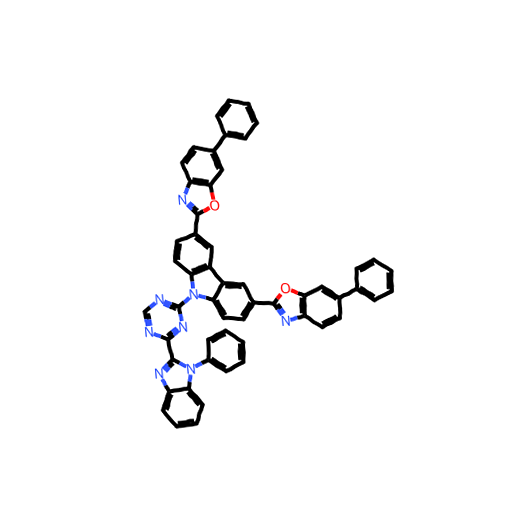 c1ccc(-c2ccc3nc(-c4ccc5c(c4)c4cc(-c6nc7ccc(-c8ccccc8)cc7o6)ccc4n5-c4ncnc(-c5nc6ccccc6n5-c5ccccc5)n4)oc3c2)cc1